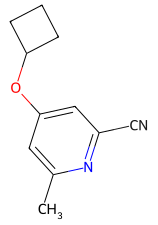 Cc1cc(OC2CCC2)cc(C#N)n1